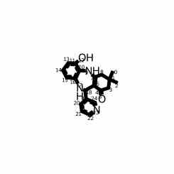 CC1(C)CC(=O)C2=C(C1)Nc1c(O)cccc1NC2c1cccnc1